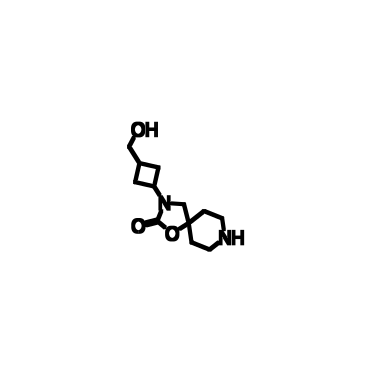 O=C1OC2(CCNCC2)CN1C1CC(CO)C1